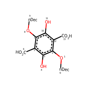 CCCCCCCCCCOc1c(O)c(C(=O)O)c(OCCCCCCCCCC)c(O)c1C(=O)O